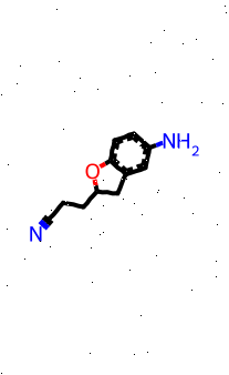 N#CCCC1Cc2cc(N)ccc2O1